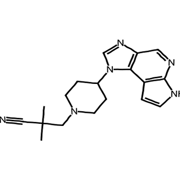 CC(C)(C#N)CN1CCC(n2cnc3cnc4[nH]ccc4c32)CC1